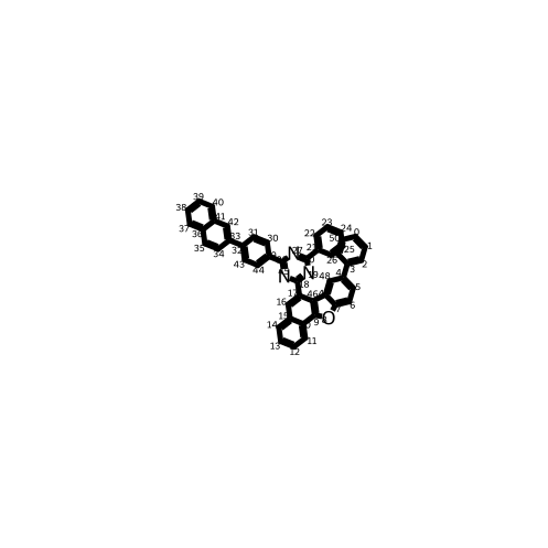 c1ccc(-c2ccc3oc4c5ccccc5cc(-c5nc(-c6ccccc6)nc(-c6ccc(-c7ccc8ccccc8c7)cc6)n5)c4c3c2)cc1